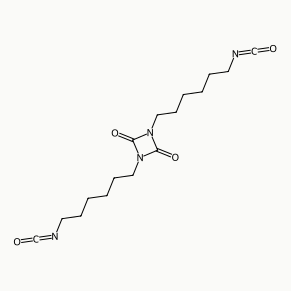 O=C=NCCCCCCN1C(=O)N(CCCCCCN=C=O)C1=O